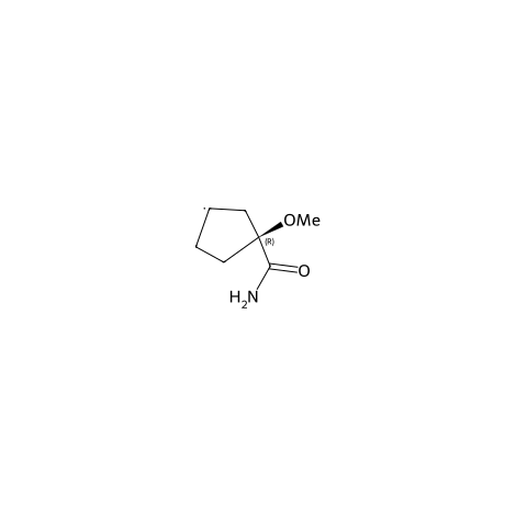 CO[C@]1(C(N)=O)C[CH]CC1